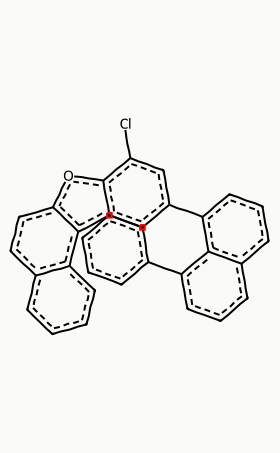 Clc1cc(-c2cccc3cccc(-c4ccccc4)c23)cc2c1oc1ccc3ccccc3c12